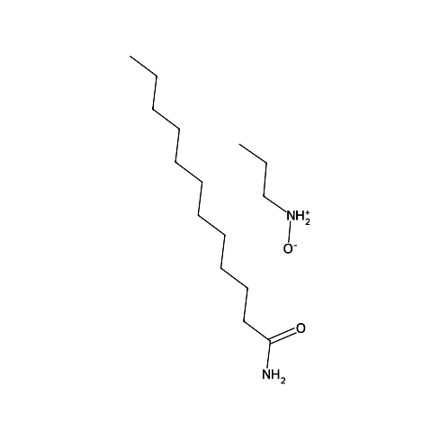 CCCCCCCCCCCC(N)=O.CCC[NH2+][O-]